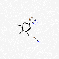 Cc1cccc(C)c1C.N=C=S.N=C=S.N=C=S